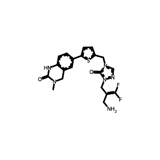 CN1Cc2cc(-c3ccc(Cn4cnn(CC(CN)=C(F)F)c4=O)s3)ccc2NC1=O